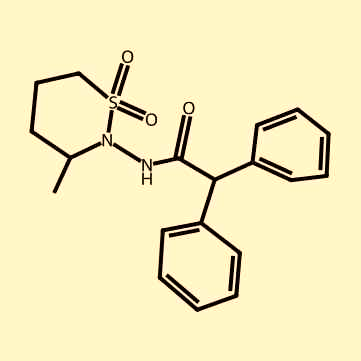 CC1CCCS(=O)(=O)N1NC(=O)C(c1ccccc1)c1ccccc1